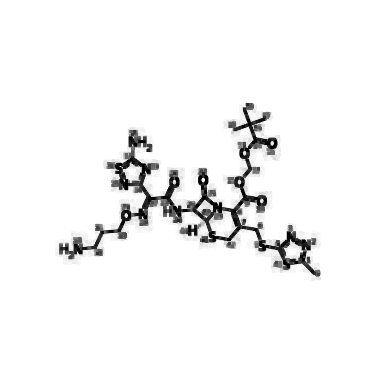 Cc1nnc(SCC2=C(C(=O)OCOC(=O)C(C)(C)C)N3C(=O)C(NC(=O)C(=NOCCCN)c4nsc(N)n4)[C@@H]3SC2)s1